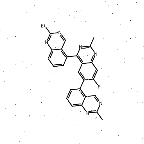 CCc1ncc2c(-c3nc(C)nc4cc(F)c(-c5cccc6nc(C)ncc56)[c]c34)cccc2n1